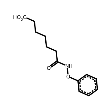 O=C(O)CCCCCC(=O)NOc1ccccc1